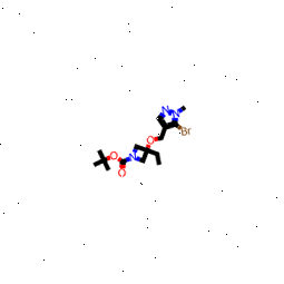 CCC1(OCc2cnn(C)c2Br)CN(C(=O)OC(C)(C)C)C1